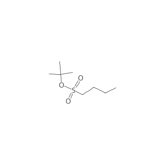 CCCCS(=O)(=O)OC(C)(C)C